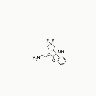 NCCOC(=O)[C@](O)(c1ccccc1)[C@@H]1CCC(F)(F)C1